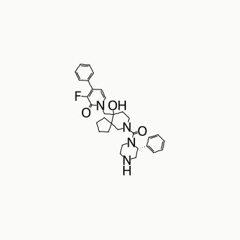 O=C(N1CCC(O)(Cn2ccc(-c3ccccc3)c(F)c2=O)C2(CCCC2)C1)N1CCNC[C@H]1c1ccccc1